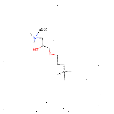 CCCCCCCC[N+](C)(C)CC(O)COCCC[Si](C)(C)C